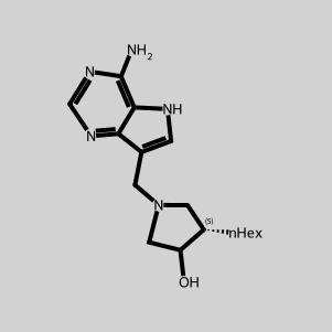 CCCCCC[C@H]1CN(Cc2c[nH]c3c(N)ncnc23)CC1O